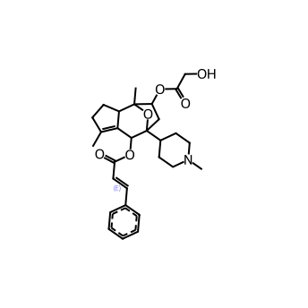 CC1=C2C(CC1)C1(C)OC(C3CCN(C)CC3)(CC1OC(=O)CO)C2OC(=O)/C=C/c1ccccc1